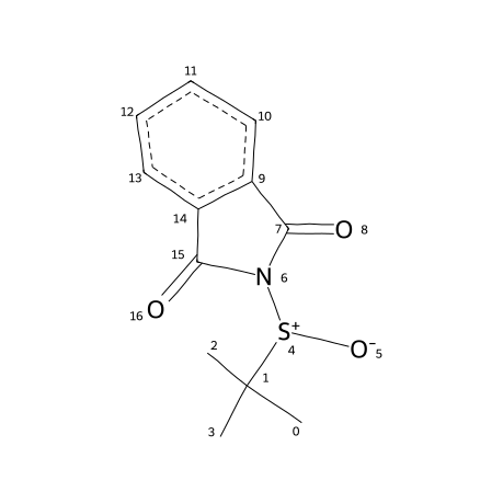 CC(C)(C)[S+]([O-])N1C(=O)c2ccccc2C1=O